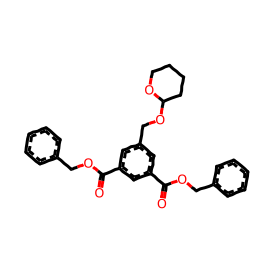 O=C(OCc1ccccc1)c1cc(COC2CCCCO2)cc(C(=O)OCc2ccccc2)c1